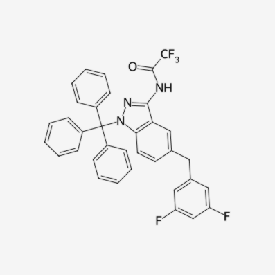 O=C(Nc1nn(C(c2ccccc2)(c2ccccc2)c2ccccc2)c2ccc(Cc3cc(F)cc(F)c3)cc12)C(F)(F)F